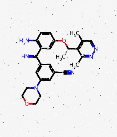 Cc1cnnc(C)c1[C@H](C)Oc1ccc(N)c(C(=N)c2cc(C#N)cc(N3CCOCC3)c2)c1